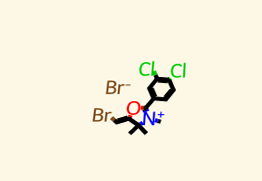 C[N+]1=C(c2ccc(Cl)c(Cl)c2)OC(=CBr)C1(C)C.[Br-]